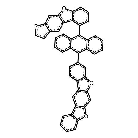 c1ccc2c(c1)oc1cc3oc4cc(-c5c6ccccc6c(-c6cccc7oc8cc9sccc9cc8c67)c6ccccc56)ccc4c3cc12